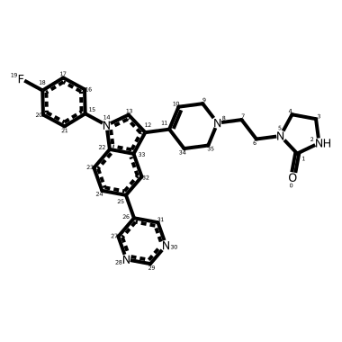 O=C1NCCN1CCN1CC=C(c2cn(-c3ccc(F)cc3)c3ccc(-c4cncnc4)cc23)CC1